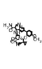 COc1ccc(-c2cc3c(N[C@@H]4CN(C(=O)C5(C#N)CC5)C[C@@H]4OC)c(C(N)=O)cnn3c2)cc1